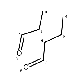 CCC=O.CCCC=O